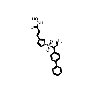 C=CC(c1ccc(-c2ccccc2)cc1)S(=O)(=O)n1ccc(C=CC(=O)NO)c1